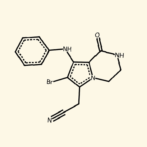 N#CCc1c(Br)c(Nc2ccccc2)c2n1CCNC2=O